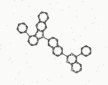 c1ccc(-c2nc(-c3ccc4cc(-n5c6cc7ccccc7cc6c6c(-c7ccccc7)cccc65)ccc4c3)nc3ncccc23)cc1